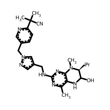 Cc1nc(NCc2cnn(Cc3ccc(C(C)(C)C#N)nc3)c2)nc2c1NC(O)[C@H](C(C)C)N2C